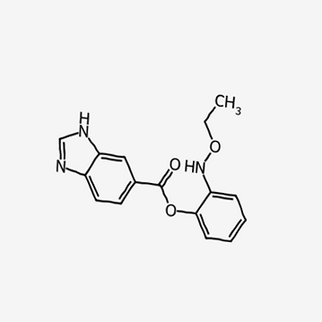 CCONc1ccccc1OC(=O)c1ccc2nc[nH]c2c1